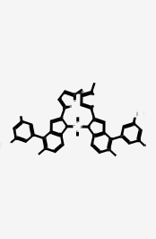 Cc1ccc(C2=Cc3c(ccc(C)c3-c3cc(C(C)C)cc(C(C)C)c3)C2[Si](C)(C)C2C(c3ccc(C)o3)=Cc3c2ccc(C)c3-c2cc(C(C)C)cc(C(C)C)c2)o1